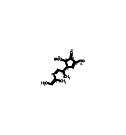 C/C=C(C)\N=C/C(C)C1C=C(N=O)C(=O)C1OC